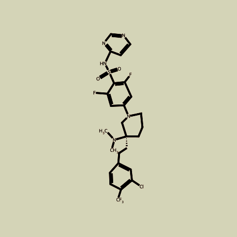 CN(C)[C@]1(CCc2ccc(C(F)(F)F)c(Cl)c2)CCCN(c2cc(F)c(S(=O)(=O)Nc3ccncn3)c(F)c2)C1